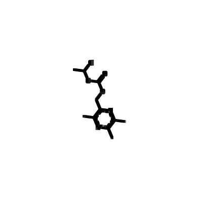 Cc1nc(C)c(COC(=O)OC(C)Cl)nc1C